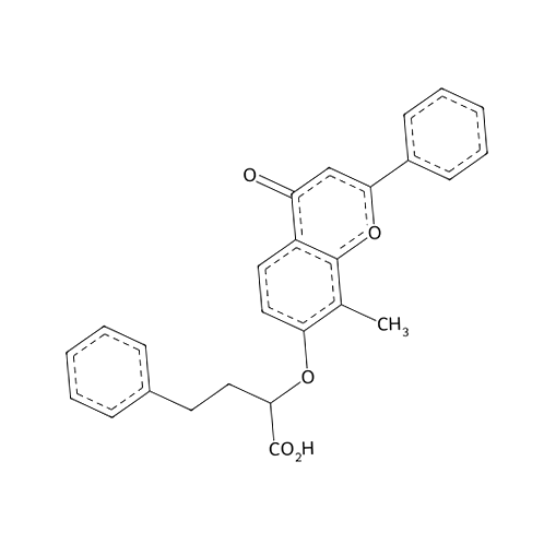 Cc1c(OC(CCc2ccccc2)C(=O)O)ccc2c(=O)cc(-c3ccccc3)oc12